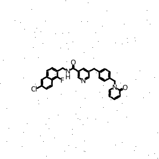 O=C(NCc1ccc2cc(Cl)ccc2c1F)c1cncc(Cc2ccc(Cn3ccccc3=O)cc2)c1